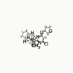 CCC(=O)N1[C@@H]2CCC[C@H]1C[C@H](N(C)c1nc(Cl)cc(OC3CCOC3)n1)C2